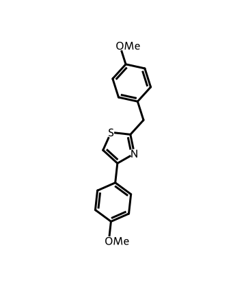 COc1ccc(Cc2nc(-c3ccc(OC)cc3)cs2)cc1